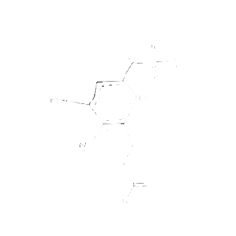 CCCc1cc(CS(=O)(=O)C(F)(F)F)nc(CCC(N)=O)c1C#N